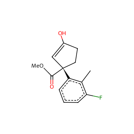 COC(=O)[C@]1(c2cccc(F)c2C)C=C(O)CC1